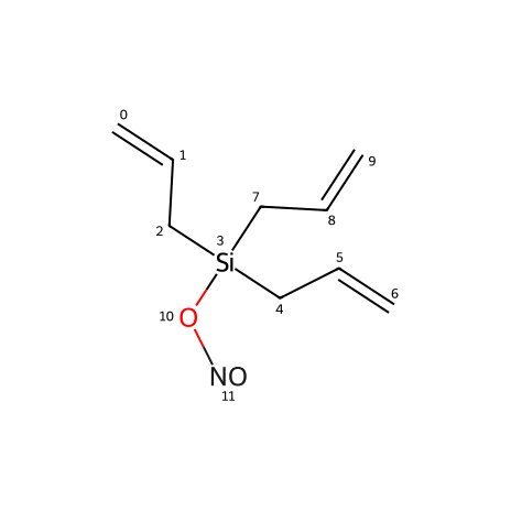 C=CC[Si](CC=C)(CC=C)ON=O